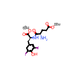 CC(C)(C)OC(=O)CC[C@H](N)C(=O)N[C@@H](Cc1cc(I)c(O)c(I)c1)C(=O)OC(C)(C)C